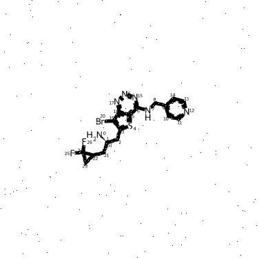 N[C@H](Cc1sc2c(NCc3ccncc3)nnnc2c1Br)CC1CC1(F)F